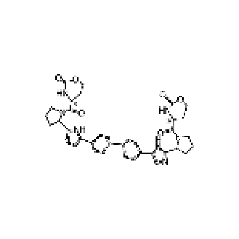 O=C1N[C@H](C(=O)N2CCCC2c2ncc(-c3ccc(-c4ccc(-c5cnc(C6CCCN6C(=O)[C@@H]6CCOC(=O)N6)[nH]5)cc4)cc3)[nH]2)CCO1